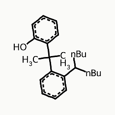 CCCCC(CCCC)c1ccccc1C(C)(C)c1ccccc1O